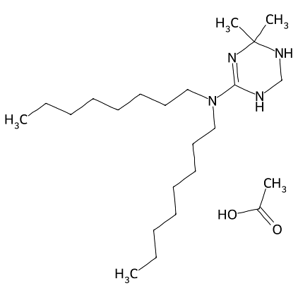 CC(=O)O.CCCCCCCCN(CCCCCCCC)C1=NC(C)(C)NCN1